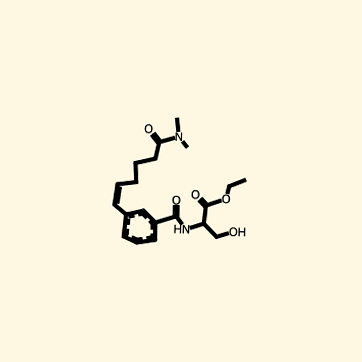 CCOC(=O)C(CO)NC(=O)c1cccc(/C=C\CCCC(=O)N(C)C)c1